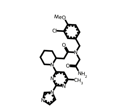 COc1ccc(CN(CC(N)=O)C(=O)CC2CCCCN2c2cc(C)nc(-n3ccnc3)n2)cc1Cl